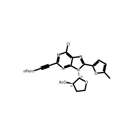 CCCCCC#Cc1nc(Cl)c2nc(-c3ccc(C)o3)n([C@@H]3OCC[C@H]3OC(C)=O)c2n1